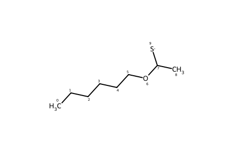 CCCCCCOC(C)[S]